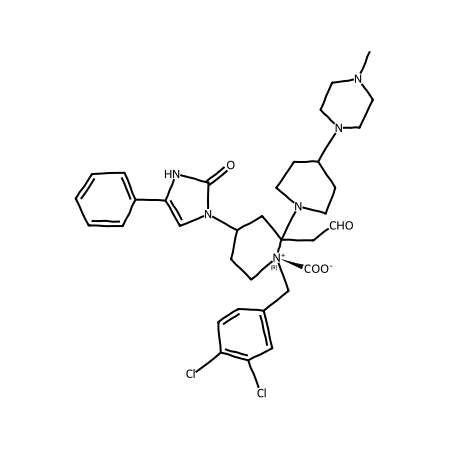 CN1CCN(C2CCN(C3(CC=O)CC(n4cc(-c5ccccc5)[nH]c4=O)CC[N@+]3(Cc3ccc(Cl)c(Cl)c3)C(=O)[O-])CC2)CC1